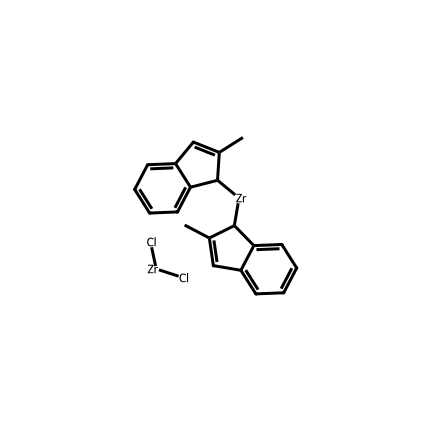 CC1=Cc2ccccc2[CH]1[Zr][CH]1C(C)=Cc2ccccc21.[Cl][Zr][Cl]